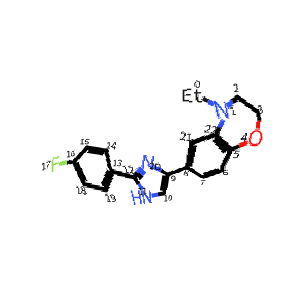 CCN1CCOc2ccc(-c3c[nH]c(-c4ccc(F)cc4)n3)cc21